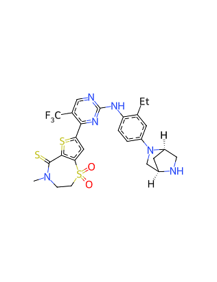 CCc1cc(N2C[C@H]3C[C@@H]2CN3)ccc1Nc1ncc(C(F)(F)F)c(-c2cc3c(s2)C(=S)N(C)CCS3(=O)=O)n1